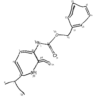 CC(C)c1ccc(NC(=O)OCc2ccccc2)c(=O)[nH]1